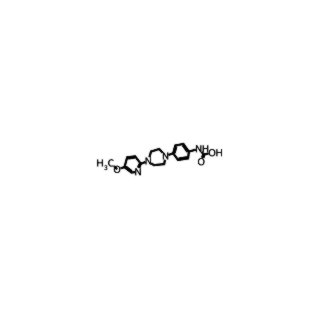 COc1ccc(N2CCN(c3ccc(NC(=O)O)cc3)CC2)nc1